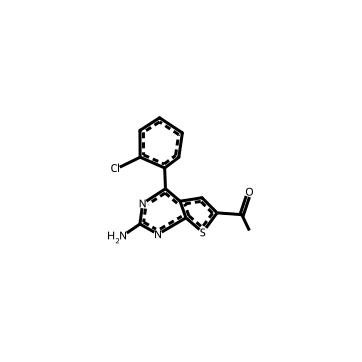 CC(=O)c1cc2c(-c3ccccc3Cl)nc(N)nc2s1